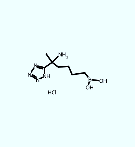 CC(N)(CCCCB(O)O)c1nnn[nH]1.Cl